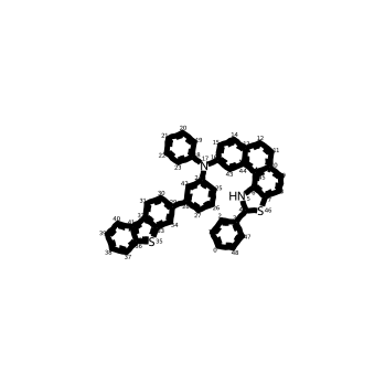 c1ccc(C2Nc3c(ccc4ccc5ccc(N(c6ccccc6)c6cccc(-c7ccc8c(c7)sc7ccccc78)c6)cc5c34)S2)cc1